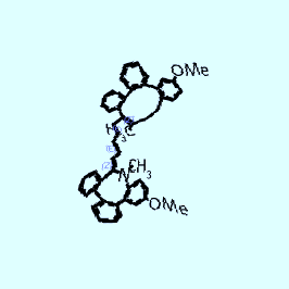 COc1ccc2c(c1)-c1ccccc1-c1ccccc1C(/C=C/C=C/C=C1/c3ccccc3-c3ccccc3-c3cc(OC)ccc3N1C)=C(/C)CC2